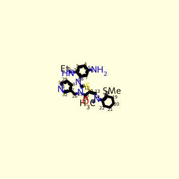 CCNc1ccc(N)cc1N=C1S/C(=C/N(C)C2=C(SC)CCCC2)C(=O)N1Cc1cccnc1